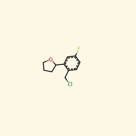 Fc1ccc(CCl)c(C2CCCO2)c1